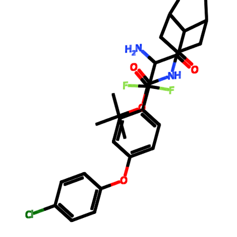 CC(C)(C)OC(=O)NC1CC2CCC(C1)C2C(=O)C(N)C(F)(F)c1ccc(Oc2ccc(Cl)cc2)cc1